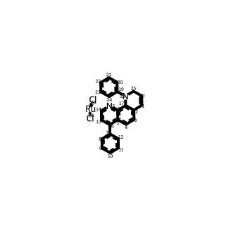 C1=Cc2ccc3c(-c4ccccc4)ccnc3c2N(c2ccccc2)C1.[Cl][Ru][Cl]